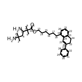 CC(C)(N)CC(N)C(C)(C)C(=O)OCCCCCCc1cccc2c1C=C(c1ccccc1)CC2